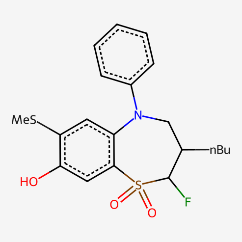 CCCCC1CN(c2ccccc2)c2cc(SC)c(O)cc2S(=O)(=O)C1F